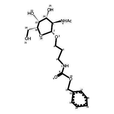 CC(=O)N[C@H]1[C@H](OCCCNC(=O)OCc2ccccc2)O[C@H](CO)[C@H](O)[C@@H]1O